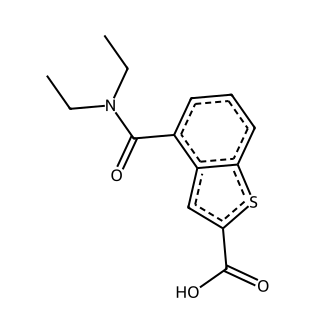 CCN(CC)C(=O)c1cccc2sc(C(=O)O)cc12